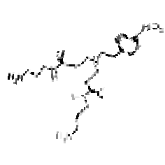 NCCCNC(=O)CCN(CCC(=O)NCCCN)CCc1ccc([N+](=O)[O-])cc1